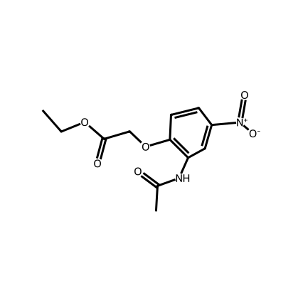 CCOC(=O)COc1ccc([N+](=O)[O-])cc1NC(C)=O